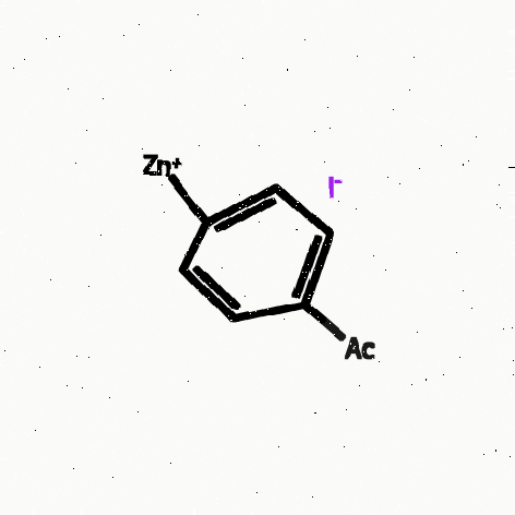 CC(=O)c1cc[c]([Zn+])cc1.[I-]